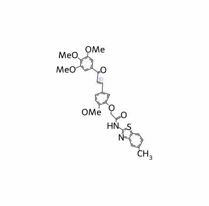 COc1ccc(/C=C/C(=O)c2cc(OC)c(OC)c(OC)c2)cc1OCC(=O)Nc1nc2cc(C)ccc2s1